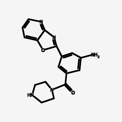 Nc1cc(C(=O)N2CCNCC2)cc(-c2nc3ncccc3o2)c1